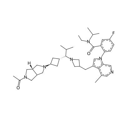 CCN(C(=O)c1cc(F)ccc1-n1cc(CC2CN(C(C(C)C)[C@H]3C[C@H](N4CC5CN(C(C)=O)C[C@@H]5C4)C3)C2)c2c(C)cncc21)C(C)C